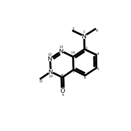 CN(C)c1cccc2c(=O)n(C)nnc12